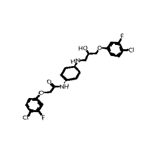 O=C(COc1ccc(Cl)c(F)c1)N[C@H]1CC[C@H](NCC(O)COc2ccc(Cl)c(F)c2)CC1